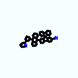 N#Cc1ccc2c(c1)C(c1ccccc1)(c1ccccc1)c1cc(-c3c4ccccc4c(-c4cccc(-c5ccccn5)c4)c4ccccc34)ccc1-2